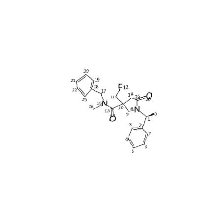 C[C@@H](c1ccccc1)N1CC(CF)(C(=O)N(C)Cc2ccccc2)CC1=O